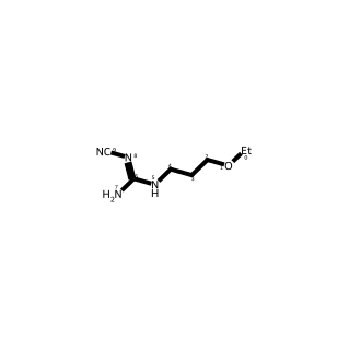 CCOCCCNC(N)=NC#N